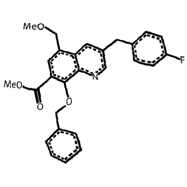 COCc1cc(C(=O)OC)c(OCc2ccccc2)c2ncc(Cc3ccc(F)cc3)cc12